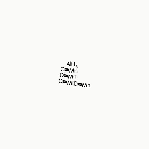 [AlH3].[O]=[Mn].[O]=[Mn].[O]=[Mn].[O]=[Mn]